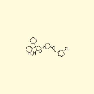 NC(=O)C(CCN1CC[C@@H](OCc2cccc(Cl)c2)C1)(c1ccccc1)c1ccccc1